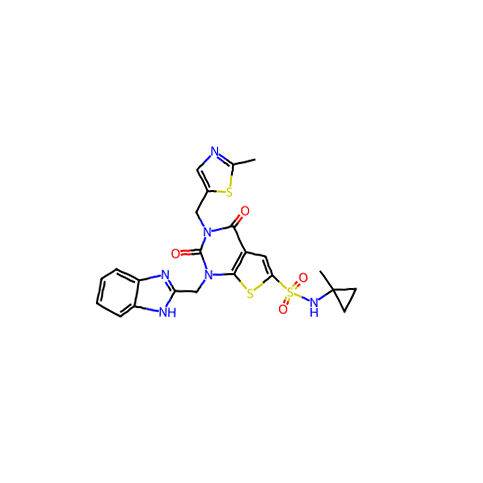 Cc1ncc(Cn2c(=O)c3cc(S(=O)(=O)NC4(C)CC4)sc3n(Cc3nc4ccccc4[nH]3)c2=O)s1